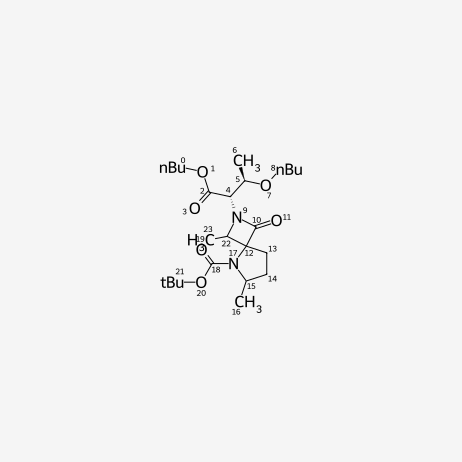 CCCCOC(=O)[C@H]([C@@H](C)OCCCC)N1C(=O)C2(CCC(C)N2C(=O)OC(C)(C)C)C1C